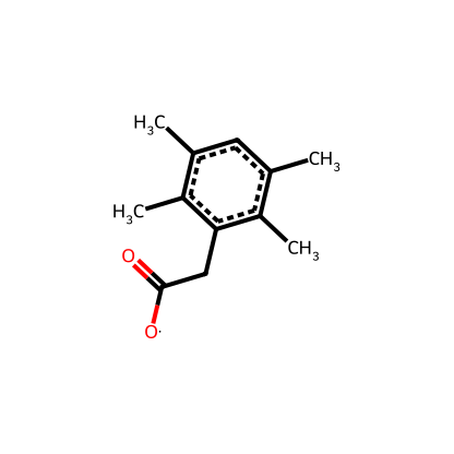 Cc1cc(C)c(C)c(CC([O])=O)c1C